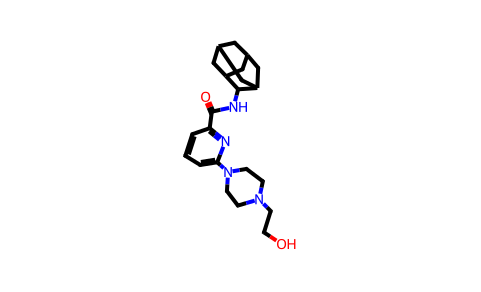 O=C(NC1C2CC3CC(C2)CC1C3)c1cccc(N2CCN(CCO)CC2)n1